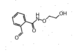 O=Cc1ccccc1C(=O)NOCCO